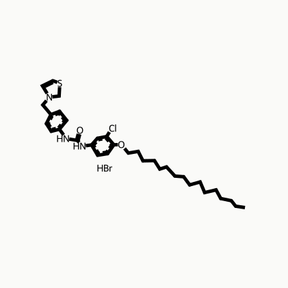 Br.CCCCCCCCCCCCCCCCOc1ccc(NC(=O)Nc2ccc(CN3C=CSC3)cc2)cc1Cl